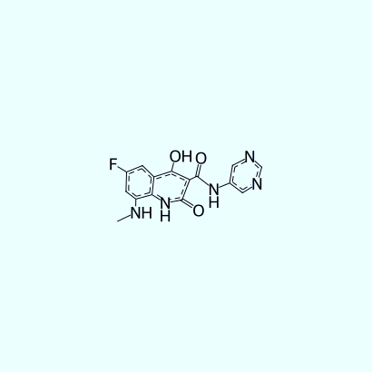 CNc1cc(F)cc2c(O)c(C(=O)Nc3cncnc3)c(=O)[nH]c12